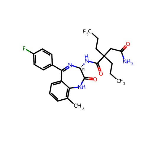 Cc1cccc2c1NC(=O)[C@@H](NC(=O)C(CCC(F)(F)F)(CCC(F)(F)F)CC(N)=O)N=C2c1ccc(F)cc1